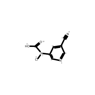 N#Cc1cncc(N(Cl)C(=O)O)c1